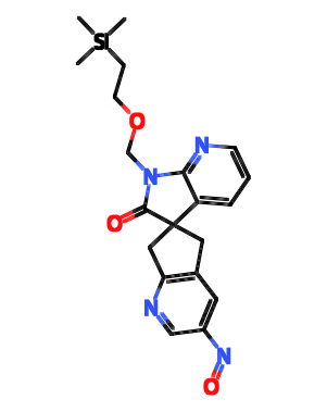 C[Si](C)(C)CCOCN1C(=O)C2(Cc3cc(N=O)cnc3C2)c2cccnc21